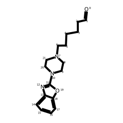 O=CCCCCCN1CCN(c2nc3ccccc3o2)CC1